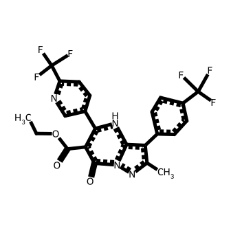 CCOC(=O)c1c(-c2ccc(C(F)(F)F)nc2)[nH]c2c(-c3ccc(C(F)(F)F)cc3)c(C)nn2c1=O